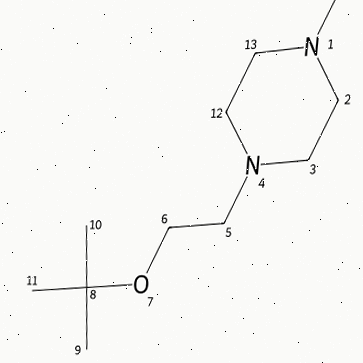 CN1CCN(CCOC(C)(C)C)CC1